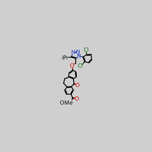 COC(=O)c1ccc2c(c1)C(=O)c1ccc(OCc3c(C(C)C)nnn3-c3c(Cl)cccc3Cl)cc1CC2